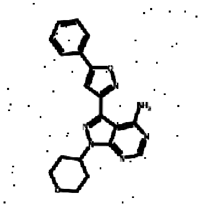 Nc1ncnc2c1c(-c1cc(-c3ccccc3)on1)nn2C1CCOCC1